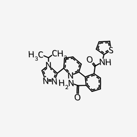 CC(C)n1cnnc1-c1cccc(-c2c(C(N)=O)cccc2C(=O)Nc2cccs2)n1